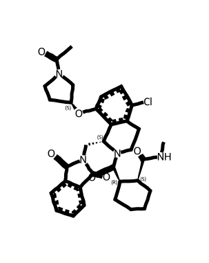 CNC(=O)[C@H]1CCCC[C@H]1C(=O)N1CCc2c(Cl)ccc(O[C@H]3CCN(C(C)=O)C3)c2[C@H]1CN1C(=O)c2ccccc2C1=O